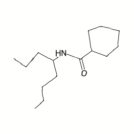 CCCCC(CCC)NC(=O)C1CCCCC1